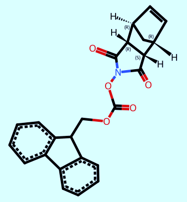 O=C(OCC1c2ccccc2-c2ccccc21)ON1C(=O)[C@@H]2[C@H](C1=O)[C@H]1C=C[C@H]2C1